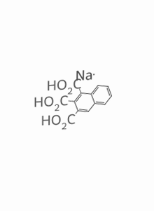 O=C(O)c1cc2ccccc2c(C(=O)O)c1C(=O)O.[Na]